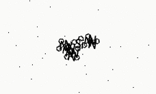 c1ccc([Si](c2ccccc2)(c2cccc(-c3nc(-n4c5ccccc5c5ccccc54)nc(-n4c5ccccc5n5c6ccccc6nc45)n3)c2)c2cccc(-n3c4ccccc4n4c5ccccc5nc34)c2)cc1